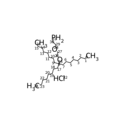 CCCCCCCCC(CCCCCCCC)(CCCCCCCC)OCCOCCP.Cl